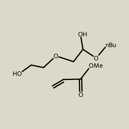 C=CC(=O)OC.CCCCOC(O)COCCO